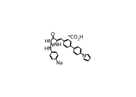 CC(=O)O.O=C1NN(Nc2cc[c]([Na])cc2)NC1=Cc1ccc(-c2ccc(-n3cccc3)cc2)cc1